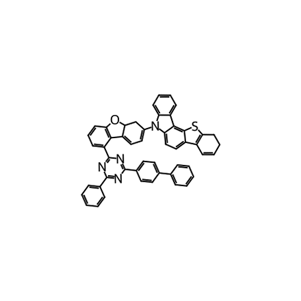 C1=Cc2c(sc3c2ccc2c3c3ccccc3n2C2=CC=C3c4c(cccc4-c4nc(-c5ccccc5)nc(-c5ccc(-c6ccccc6)cc5)n4)OC3C2)CC1